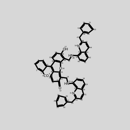 O=C(O)c1ccccc1-c1c2ccc(=O)c(CNc3cccc4ccc(Cc5ccccc5)nc34)c-2oc2c(CNc3cccc4ccc(Cc5ccccc5)nc34)c(O)ccc12